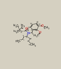 CCCC(CCC)N(Cc1cccc(OC)c1OC)C(=O)CC(C)(C)C